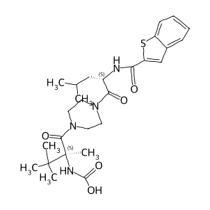 CC(C)C[C@H](NC(=O)c1cc2ccccc2s1)C(=O)N1CCN(C(=O)[C@@](C)(NC(=O)O)C(C)(C)C)CC1